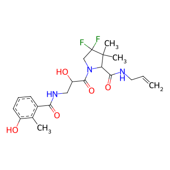 C=CCNC(=O)C1N(C(=O)C(O)CNC(=O)c2cccc(O)c2C)CC(F)(F)C1(C)C